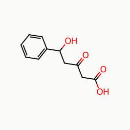 O=C(O)CC(=O)CC(O)c1ccccc1